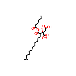 CCCCCC(=O)OC(=O)C(CCCCCCCCCCC(C)C)C(O)(CC(=O)O)C(=O)O